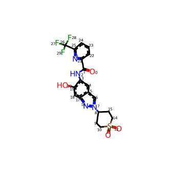 O=C(Nc1cc2cn(C3CCS(=O)(=O)CC3)nc2cc1O)c1cccc(C(F)(F)F)n1